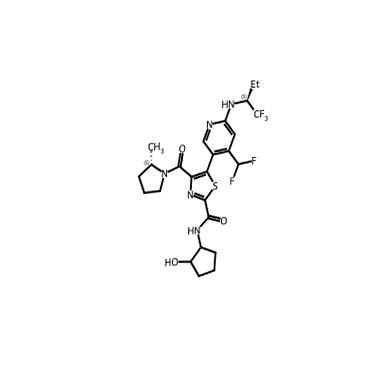 CC[C@H](Nc1cc(C(F)F)c(-c2sc(C(=O)NC3CCCC3O)nc2C(=O)N2CCC[C@@H]2C)cn1)C(F)(F)F